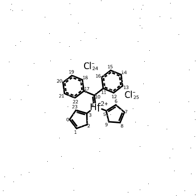 C1=CC[C]([Hf+2]([C]2=CC=CC2)=[C](c2ccccc2)c2ccccc2)=C1.[Cl-].[Cl-]